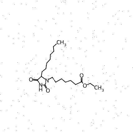 CCCCCCCCC1C(=O)NC(=O)N1CCCCCCC(=O)OCC